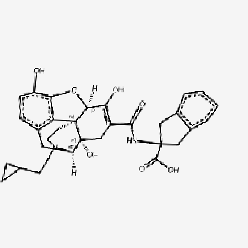 O=C(NC1(C(=O)O)Cc2ccccc2C1)C1=C(O)[C@@H]2Oc3c(O)ccc4c3[C@@]23CCN(CC2CC2)[C@H](C4)[C@]3(O)C1